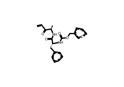 C=CC(=O)[C@@H](C)NC(=O)[C@@H](Cc1ccccc1)NC(=O)OCc1ccccc1